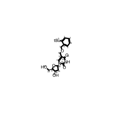 CC(C)(C)c1ccccc1COCc1cn([C@H]2C[C@H](O)[C@@H](CO)O2)c(=O)[nH]c1=O